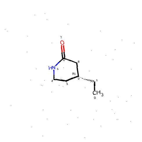 CC[C@@H]1CCNC(=O)C1